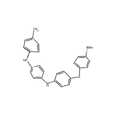 CNc1ccc(Sc2ccc(Nc3ccc(Pc4ccc(C)cc4)cc3)cc2)cc1